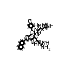 CC1CN(C(=O)[C@@H](Cc2ccc(Cl)cc2)NC(=O)[C@@H](N)Cc2c[nH]cn2)C(CCCNC(=N)N)C(=O)N1CCc1ccc2ccccc2c1